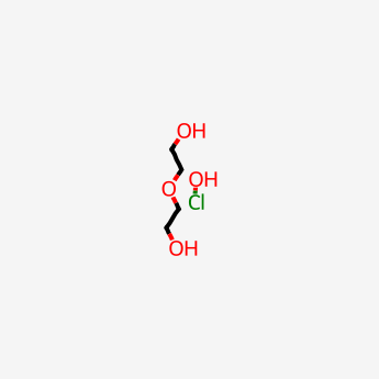 OCCOCCO.OCl